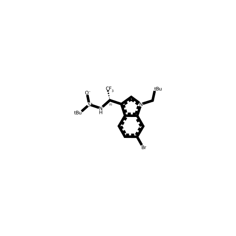 CC(C)(C)Cn1cc([C@H](N[S+]([O-])C(C)(C)C)C(F)(F)F)c2ccc(Br)cc21